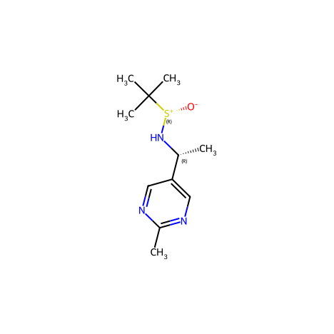 Cc1ncc([C@@H](C)N[S@@+]([O-])C(C)(C)C)cn1